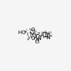 C=CC(=O)N1[C@H](CCO)COC[C@H]1c1cc(Cl)nc(-c2ccn3ccnc3c2)c1